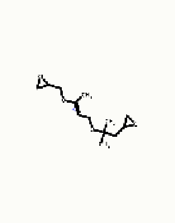 C/C(=C\COC(C)(C)CC1CO1)OCC1CO1